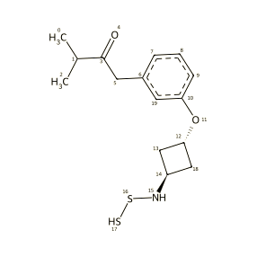 CC(C)C(=O)Cc1cccc(O[C@H]2C[C@H](NSS)C2)c1